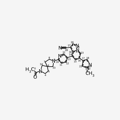 CC(=O)N1CCC2(CCN(c3ccc(-c4cc(-c5cnn(C)c5)cn5ncc(C#N)c45)cn3)C2)C1